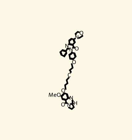 COc1cc2c(cc1OCCCCCCCCCCOc1ccc(-n3c(-c4ccccc4)nc4ccc(N5CCOCC5)cc4c3=O)cc1)N=C[C@@H]1CCCN1C2=O